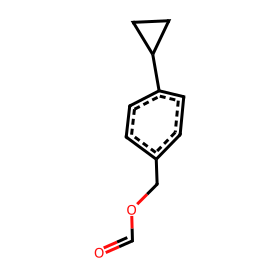 O=COCc1ccc(C2CC2)cc1